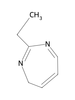 CCC1=NCC=CC=N1